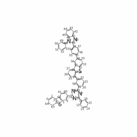 C1=Cc2c(sc3cc(-c4nc(-c5ccccc5)nc(-c5cccc(-c6cccc7c6sc6ccc(-c8ccc(-c9nc%10ccccc%10n9-c9ccccc9)cc8)cc67)c5)n4)ccc23)CC1